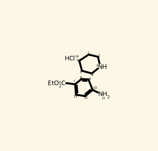 C1CCNCC1.CCOC(=O)c1ccc(N)cc1.Cl